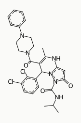 CC1=C(C(=O)N2CCN(c3ccccc3)CC2)C(c2cccc(Cl)c2Cl)n2c(cc(=O)n2C(=O)NC(C)C)N1